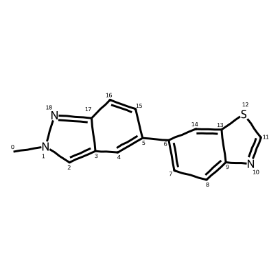 Cn1cc2cc(-c3ccc4ncsc4c3)ccc2n1